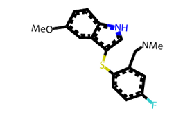 CNCc1cc(F)ccc1Sc1c[nH]c2ccc(OC)cc12